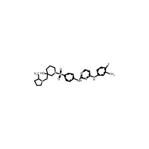 Cc1cc(Nc2ccnc(Nc3ccc(S(=O)(=O)N4CCCC(O)(CN5CCCC5C)C4)cc3)n2)ccc1F